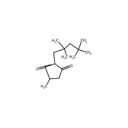 CC1CC(=O)N(CC(C)(C)CC(C)(C)C)C1=O